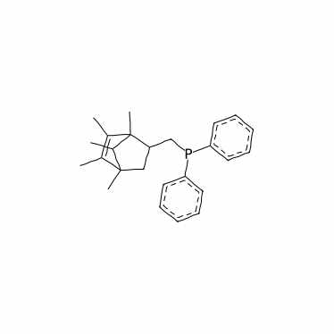 CC1=C(C)C2(C)C(CP(c3ccccc3)c3ccccc3)CC1(C)C2C